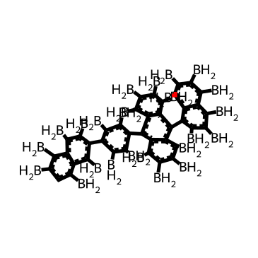 Bc1cc(B)c2c(B)c(-c3c(B)c(B)c(-c4c5c(B)c(B)c(B)c(B)c5c(-c5c(B)c(B)c(B)c6c(B)c(B)c(B)c(B)c56)c5c(B)c(B)c(B)c(B)c45)c(B)c3B)c(B)c(B)c2c1B